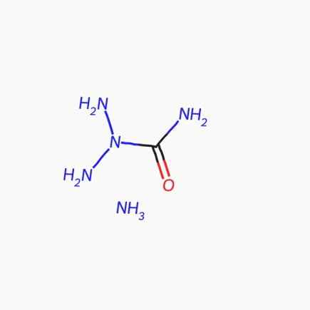 N.NC(=O)N(N)N